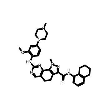 COc1cc(N2CCN(C)CC2)ccc1Nc1ncc2c(n1)-c1c(c(C(=O)Nc3cccc4c3CCCC4)nn1C)CC2